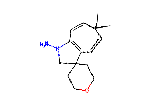 CC1(C)C=CC2=C(C=C1)C1(CCOCC1)CN2N